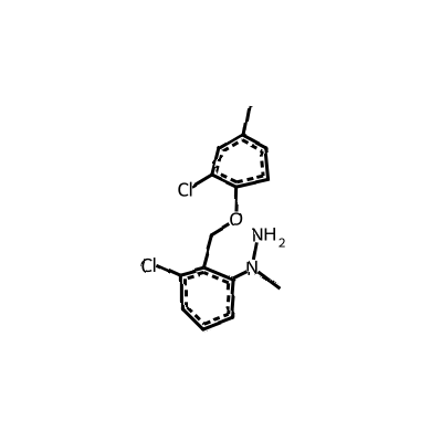 Cc1ccc(OCc2c(Cl)cccc2N(C)N)c(Cl)c1